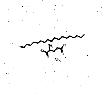 CCCCCCCCCCCCCCCCC[C]=O.NC(CCC(=O)O)C(=O)O.[AlH3]